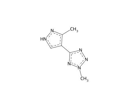 Cc1n[nH]cc1-c1nnn(C)n1